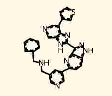 c1ccc(CNCc2cncc(-c3ccc4[nH]nc(-c5nc6c(-c7ccsc7)cncc6[nH]5)c4n3)c2)cc1